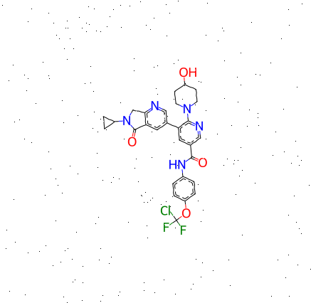 O=C(Nc1ccc(OC(F)(F)Cl)cc1)c1cnc(N2CCC(O)CC2)c(-c2cnc3c(c2)C(=O)N(C2CC2)C3)c1